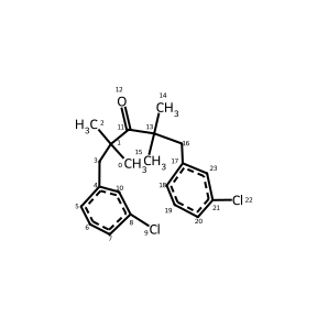 CC(C)(Cc1cccc(Cl)c1)C(=O)C(C)(C)Cc1cccc(Cl)c1